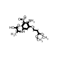 COC(CCOc1cc(NC(C)C(=O)O)cc([N+](=O)[O-])c1N)OC